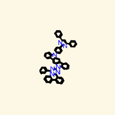 c1ccc(-c2cc(-c3ccccc3)nc(-c3ccc(-n4c5ccccc5c5cc6c(cc54)c4ccccc4n6-c4nc(-c5ccccc5)nc(-c5ccccc5-c5ccccc5)n4)cc3)n2)cc1